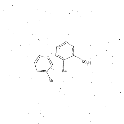 Brc1ccccc1.CC(=O)c1ccccc1C(=O)O